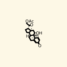 CC(=O)OCC(=O)[C@H]1CCC2[C@@H]3CCC4=CC(=O)C=C[C@]4(C)[C@H]3[C@@H](O)C[C@@]21C